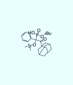 CCC(C)OP(=O)(O)C(O[Si](C)(C)C)(C(=O)C12CC3CC(CC(C3)C1)C2)c1ccccc1